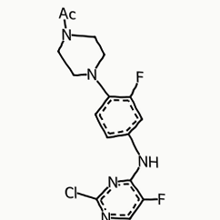 CC(=O)N1CCN(c2ccc(Nc3nc(Cl)ncc3F)cc2F)CC1